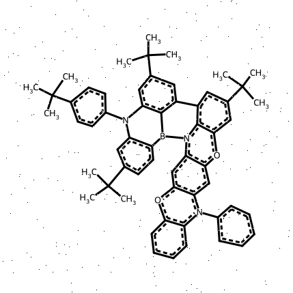 CC(C)(C)c1ccc(N2c3cc(C(C)(C)C)ccc3B3c4c(cc(C(C)(C)C)cc42)-c2cc(C(C)(C)C)cc4oc5cc6c(cc5n3c24)oc2ccccc2n6-c2ccccc2)cc1